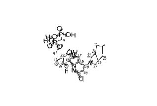 O=P(O)(O)CP(=O)(O)OC[C@H]1OC[C@@](O)(c2ncc3c(N4CC5CCCC5C4)cc(Cl)nn23)[C@@H]1O